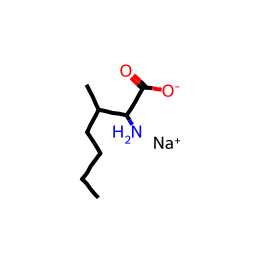 CCCCC(C)C(N)C(=O)[O-].[Na+]